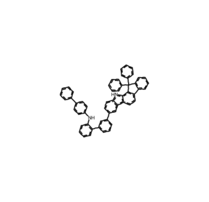 c1ccc(-c2ccc(Nc3ccccc3-c3cccc(-c4ccc5[nH]c6c7c(ccc6c5c4)-c4ccccc4C7(c4ccccc4)c4ccccc4)c3)cc2)cc1